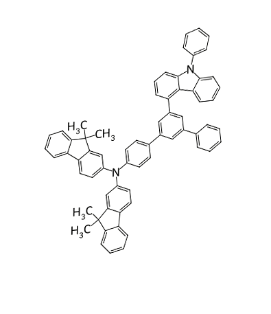 CC1(C)c2ccccc2-c2ccc(N(c3ccc(-c4cc(-c5ccccc5)cc(-c5cccc6c5c5ccccc5n6-c5ccccc5)c4)cc3)c3ccc4c(c3)C(C)(C)c3ccccc3-4)cc21